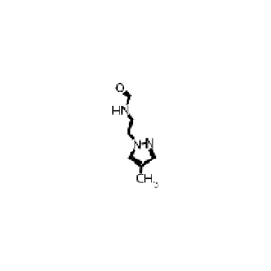 Cc1cnn(CCNC=O)c1